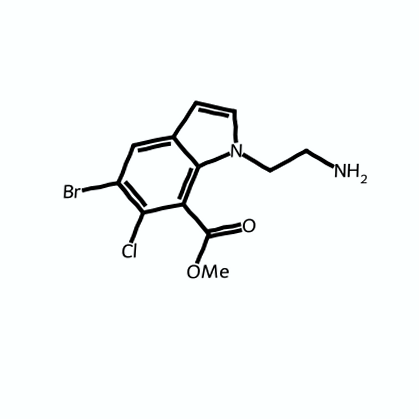 COC(=O)c1c(Cl)c(Br)cc2ccn(CCN)c12